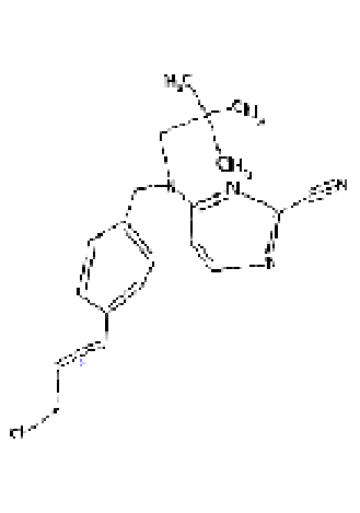 CC(C)(C)CN(Cc1ccc(/C=C/CCl)cc1)c1ccnc(C#N)n1